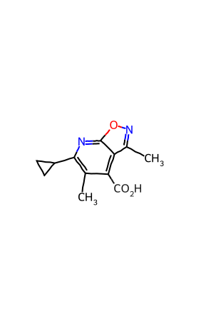 Cc1c(C2CC2)nc2onc(C)c2c1C(=O)O